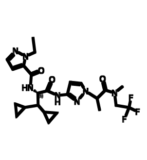 CCn1nccc1C(=O)N[C@H](C(=O)Nc1ccn(C(C)C(=O)N(C)CC(F)(F)F)n1)C(C1CC1)C1CC1